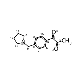 CC(=O)C(=O)c1ccc(CN2CCCC2)cc1